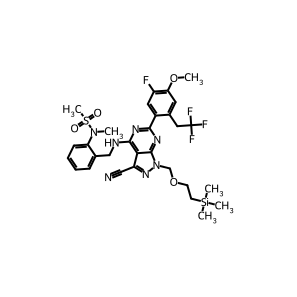 COc1cc(CC(F)(F)F)c(-c2nc(NCc3ccccc3N(C)S(C)(=O)=O)c3c(C#N)nn(COCC[Si](C)(C)C)c3n2)cc1F